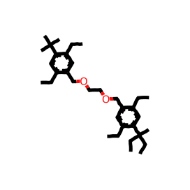 CCc1cc(C(C)(C)C)c(CC)cc1COCCOCc1cc(CC)c(C(C)(CC)CC)cc1CC